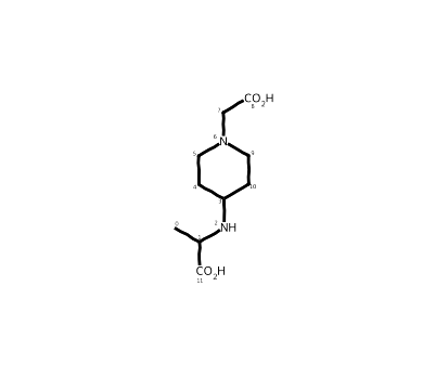 CC(NC1CCN(CC(=O)O)CC1)C(=O)O